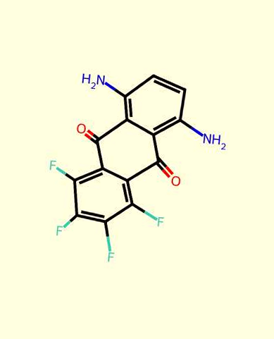 Nc1ccc(N)c2c1C(=O)c1c(F)c(F)c(F)c(F)c1C2=O